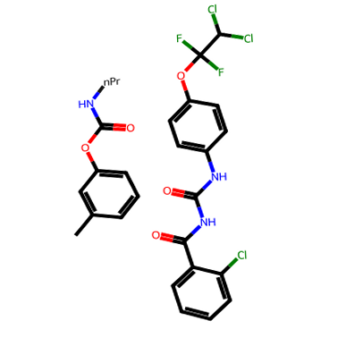 CCCNC(=O)Oc1cccc(C)c1.O=C(NC(=O)c1ccccc1Cl)Nc1ccc(OC(F)(F)C(Cl)Cl)cc1